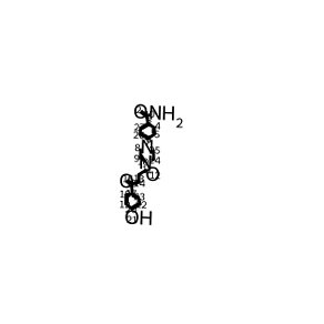 NC(=O)c1ccc(N2CCN(C(=O)CCC(=O)c3ccc(O)cc3)CC2)cc1